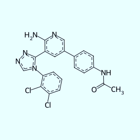 CC(=O)Nc1ccc(-c2cnc(N)c(-c3nncn3-c3cccc(Cl)c3Cl)c2)cc1